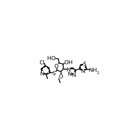 CCOC1C(Sc2cc(Cl)cnc2C)OC(CO)C(O)C1n1cc(-c2csc(N)n2)nn1